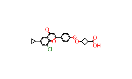 O=C(O)C1CC(OOc2ccc(-c3cc(=O)c4cc(C5CC5)cc(Cl)c4o3)cc2)C1